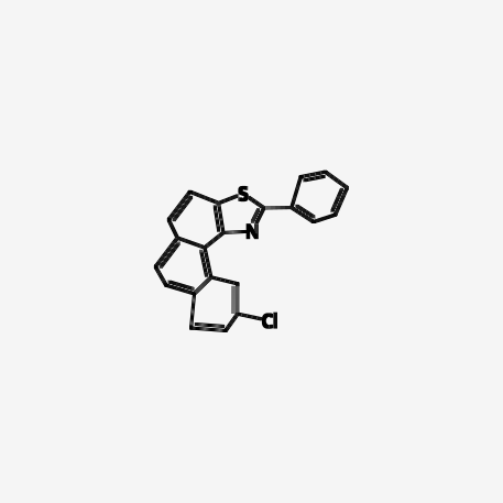 Clc1ccc2ccc3ccc4sc(-c5ccccc5)nc4c3c2c1